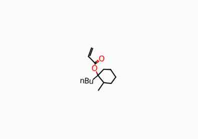 C=CC(=O)OC1(CCCC)CCCCC1C